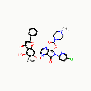 CN1CCN(C(=O)O[C@H]2c3nccnc3C(=O)N2c2ccc(Cl)cn2)CC1.COc1c(O)cc2oc(-c3ccccc3)cc(=O)c2c1O